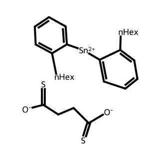 CCCCCCc1cccc[c]1[Sn+2][c]1ccccc1CCCCCC.[O-]C(=S)CCC([O-])=S